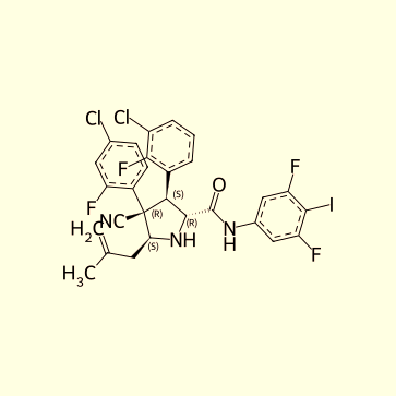 C=C(C)C[C@@H]1N[C@@H](C(=O)Nc2cc(F)c(I)c(F)c2)[C@H](c2cccc(Cl)c2F)[C@@]1(C#N)c1ccc(Cl)cc1F